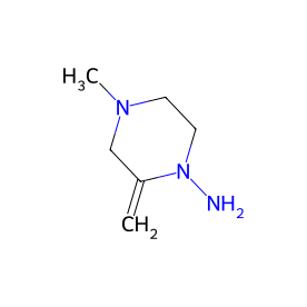 C=C1CN(C)CCN1N